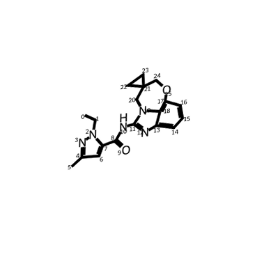 CCn1nc(C)cc1C(=O)Nc1nc2cccc3c2n1CC1(CC1)CO3